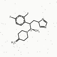 C=C1CCN([C@H](C)C(CC2C=NC=N2)c2ccc(F)cc2F)CC1